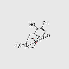 CN1CCC23CC(=O)CCC2C1Cc1c3ccc(O)c1O